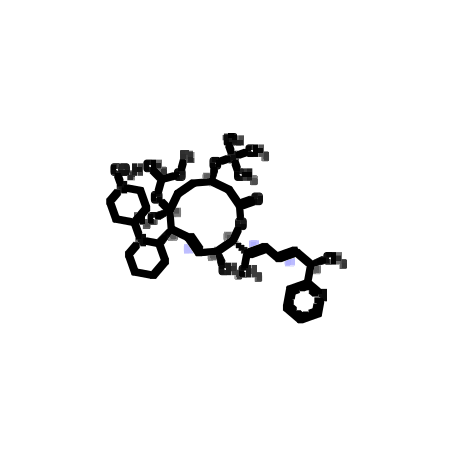 CCOC(C)O[C@]1(C)CC[C@@H](O[Si](C)(C)C(C)(C)C)CC(=O)O[C@H](/C(C)=C/C=C/[C@@H](C)c2ccccn2)[C@@H](C)/C=C/[C@H]1C1CCCCN1C1CCN(C(=O)O)CC1